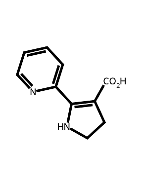 O=C(O)C1=C(c2ccccn2)NCC1